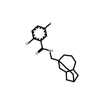 O=C(NCC12CCCC3CC(CC3C1)C2)c1cc(I)ccc1Cl